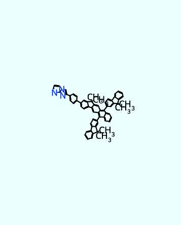 CC1(C)c2ccccc2-c2ccc(-c3c4ccccc4c(-c4ccc5c(c4)C(C)(C)c4ccccc4-5)c4cc5c(cc34)-c3ccc(-c4ccc(-c6cn7cccnc7n6)cc4)cc3C5(C)C)cc21